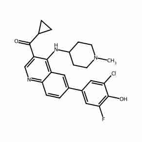 CN1CCC(Nc2c(C(=O)C3CC3)cnc3ccc(-c4cc(F)c(O)c(Cl)c4)cc23)CC1